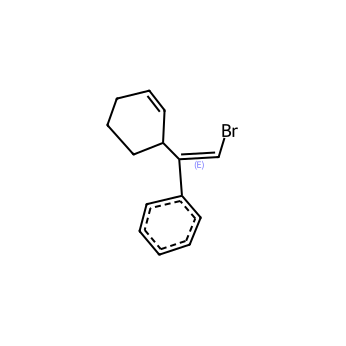 Br/C=C(/c1ccccc1)C1C=CCCC1